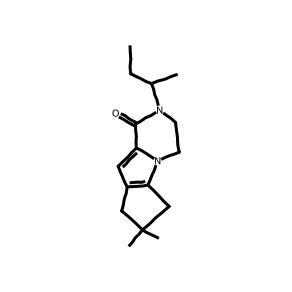 CCC(C)N1CCn2c(cc3c2CC(C)(C)C3)C1=O